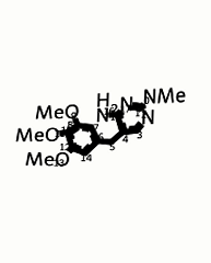 CNc1ncc(Cc2cc(OC)c(OC)c(OC)c2)c(N)n1